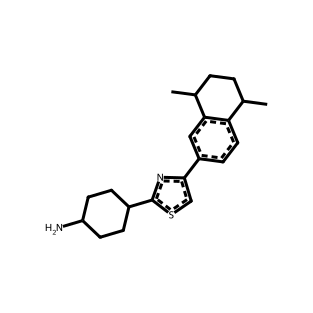 CC1CCC(C)c2cc(-c3csc(C4CCC(N)CC4)n3)ccc21